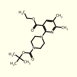 CCOC(=O)c1cc(C)c(C)nc1N1CCN(C(=O)OC(C)(C)C)CC1